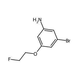 Nc1cc(Br)cc(OCCF)c1